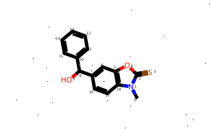 Cn1c(=S)oc2cc(C(O)c3ccccc3)ccc21